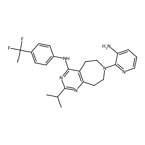 CC(C)c1nc2c(c(Nc3ccc(C(F)(F)F)cc3)n1)CCN(c1ncccc1N)CC2